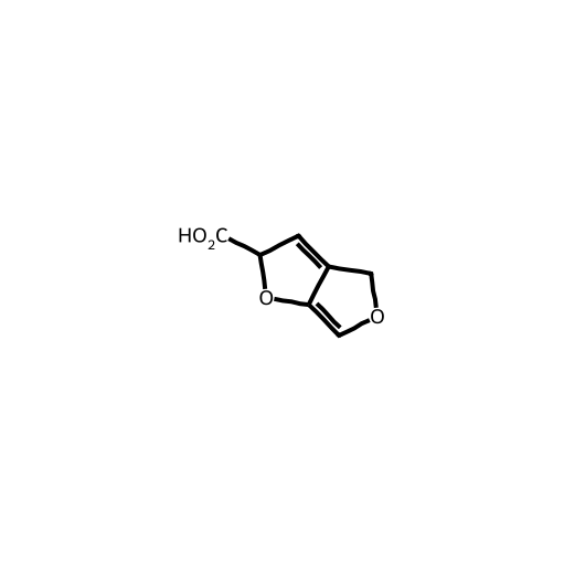 O=C(O)C1C=C2COC=C2O1